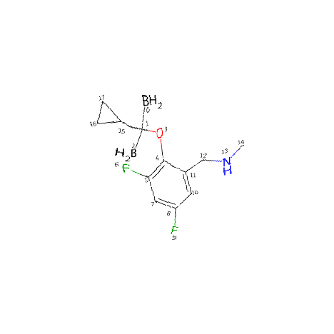 BC(B)(Oc1c(F)cc(F)cc1CNC)C1CC1